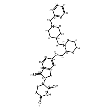 O=C1CCC(N2Cc3cc(OCC4CCCCN4CC4CCN(Cc5ccccc5)CC4)ccc3C2=O)C(=O)N1